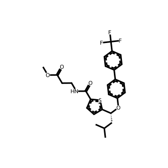 COC(=O)CCNC(=O)c1ccc([C@@H](CC(C)C)Oc2ccc(-c3ccc(C(F)(F)F)cc3)cc2)s1